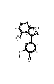 COc1cc(-c2n[nH]c3ncnc(N)c23)ccc1Cl